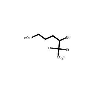 CCCCCCCCCCCC(CC)C(CC)(CC)C(=O)O